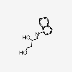 OCCC(O)C=Nc1cccc2ccccc12